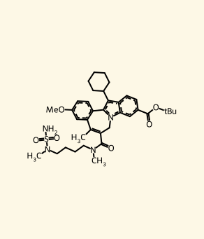 COc1ccc2c(c1)C(C)=C(C(=O)N(C)CCCCN(C)S(N)(=O)=O)Cn1c-2c(C2CCCCC2)c2ccc(C(=O)OC(C)(C)C)cc21